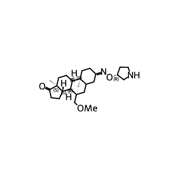 COCC1CC2CC(=NO[C@@H]3CCNC3)CC[C@]2(C)[C@@H]2CC[C@]3(C)C(=O)CC[C@H]3[C@H]12